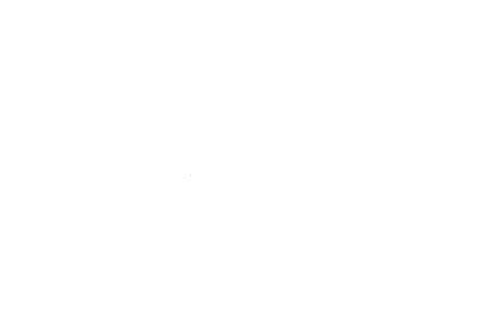 CCCC(O)C(c1ccccc1)S(N)(=O)=O